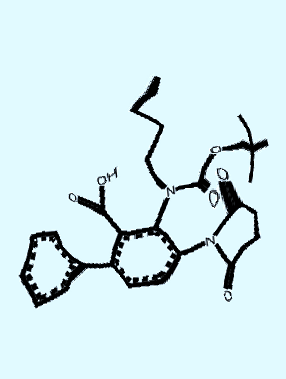 CCCCN(C(=O)OC(C)(C)C)c1c(N2C(=O)CCC2=O)ccc(-c2ccccc2)c1C(=O)O